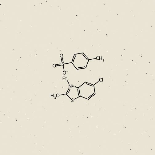 CC[n+]1c(C)sc2ccc(Cl)cc21.Cc1ccc(S(=O)(=O)[O-])cc1